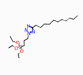 CCCCCCCCCCCc1nnn(CCC[Si](OCC)(OCC)OCC)n1